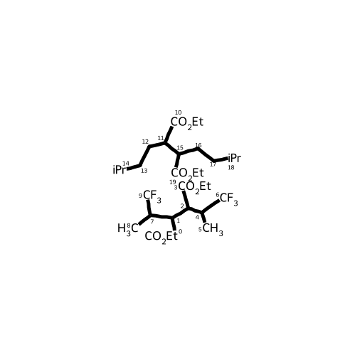 CCOC(=O)C(C(C(=O)OCC)C(C)C(F)(F)F)C(C)C(F)(F)F.CCOC(=O)C(CCC(C)C)C(CCC(C)C)C(=O)OCC